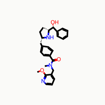 COc1ncccc1CN(C)C(=O)c1ccc(C[C@@H]2CC[C@H]([C@H](O)c3ccccc3)N2)cc1